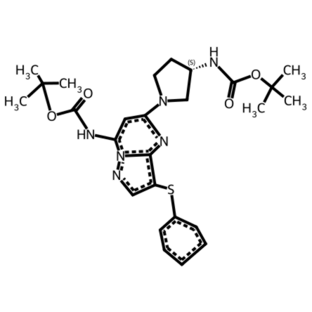 CC(C)(C)OC(=O)Nc1cc(N2CC[C@H](NC(=O)OC(C)(C)C)C2)nc2c(Sc3ccccc3)cnn12